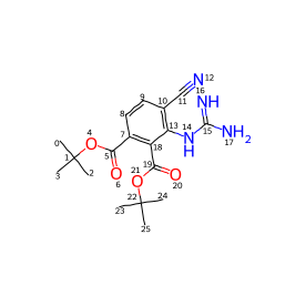 CC(C)(C)OC(=O)c1ccc(C#N)c(NC(=N)N)c1C(=O)OC(C)(C)C